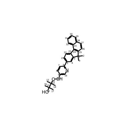 CC1(C)c2cc(-c3ccc(BOC(C)(C)C(C)(C)O)cn3)ccc2-c2c1ccc1ccccc21